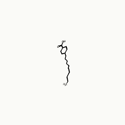 CCCCCCCCCCC1CCC(C(=O)O)CC1